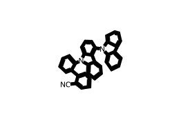 N#Cc1ccccc1-c1ccccc1-n1c2ccccc2c2c(-n3c4ccccc4c4ccccc43)cccc21